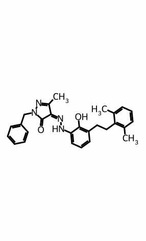 CC1=NN(Cc2ccccc2)C(=O)/C1=N\Nc1cccc(CCc2c(C)cccc2C)c1O